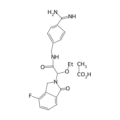 CC(=O)O.CCOC(C(=O)NCc1ccc(C(=N)N)cc1)N1Cc2c(F)cccc2C1=O